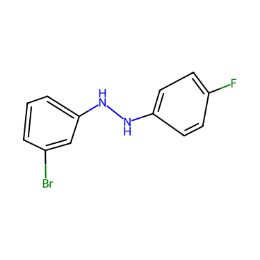 Fc1ccc(NNc2cccc(Br)c2)cc1